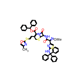 CON=C(C(=O)NC1C(=O)N2C(C(=O)OC(c3ccccc3)c3ccccc3)=C(C=CSc3nc(C)co3)CSC12)c1csc(NC(c2ccccc2)(c2ccccc2)c2ccccc2)n1